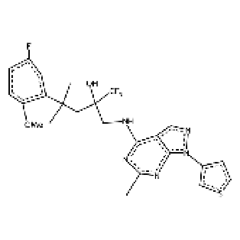 COc1ccc(F)cc1C(C)(C)CC(O)(CNc1nc(C)nc2c1cnn2-c1ccsc1)C(F)(F)F